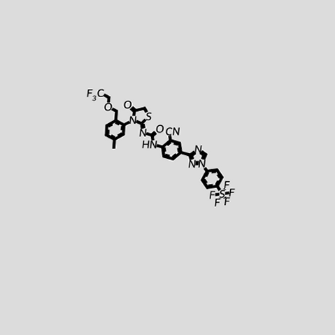 Cc1ccc(COCC(F)(F)F)c(N2C(=O)CSC2=NC(=O)Nc2ccc(-c3ncn(-c4ccc(S(F)(F)(F)(F)F)cc4)n3)cc2C#N)c1